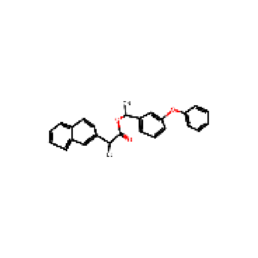 CCC(C(=O)OC(C#N)c1cccc(Oc2ccccc2)c1)c1ccc2ccccc2c1